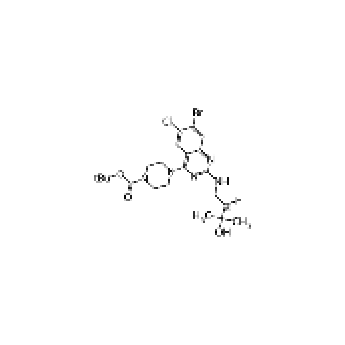 CC(C)(C)OC(=O)N1CCN(c2nc(NC[C@@H](F)C(C)(C)O)nc3cc(Br)c(Cl)cc23)CC1